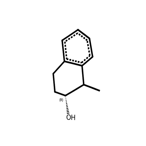 CC1c2ccccc2CC[C@H]1O